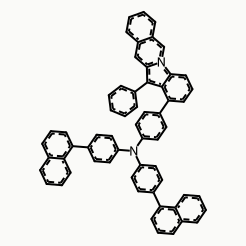 c1ccc(-c2c3c(-c4ccc(N(c5ccc(-c6cccc7ccccc67)cc5)c5ccc(-c6cccc7ccccc67)cc5)cc4)cccc3n3cc4ccccc4cc23)cc1